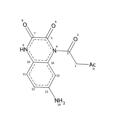 CC(=O)CC(=O)n1c(=O)c(=O)[nH]c2ccc(N)cc21